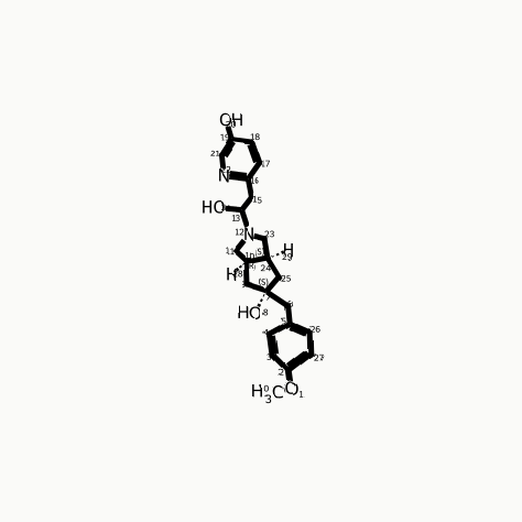 COc1ccc(C[C@@]2(O)C[C@H]3CN(C(O)Cc4ccc(O)cn4)C[C@H]3C2)cc1